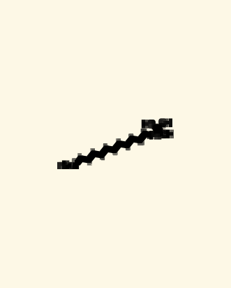 CCCCCCCCCCCCCCCCCCCCPC(O)(O)O